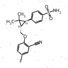 CC1(C)[C@@H](COc2ccc(F)cc2C#N)[C@@H]1c1ccc(S(N)(=O)=O)cc1